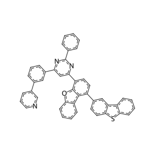 c1ccc(-c2nc(-c3cccc(-c4cccnc4)c3)cc(-c3ccc(-c4ccc5sc6ccccc6c5c4)c4c3oc3ccccc34)n2)cc1